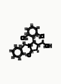 O=C1CC(CO)C(c2c(Cl)cccc2Cl)N1Cc1ccccc1